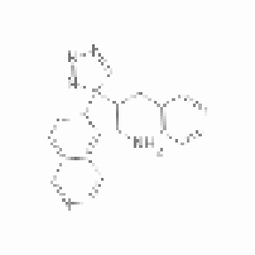 NCC(Cc1ccccc1)C1(c2ccc3cnccc3c2)C=NN=N1